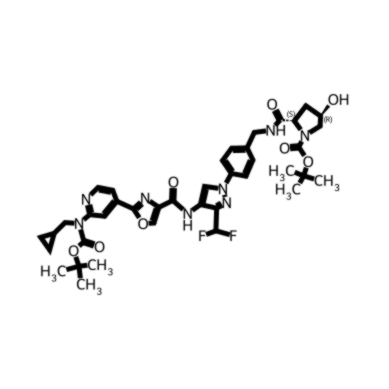 CC(C)(C)OC(=O)N(CC1CC1)c1cc(-c2nc(C(=O)Nc3cn(-c4ccc(CNC(=O)[C@@H]5C[C@@H](O)CN5C(=O)OC(C)(C)C)cc4)nc3C(F)F)co2)ccn1